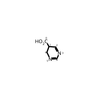 O=C(O)C1C=NC=NC1